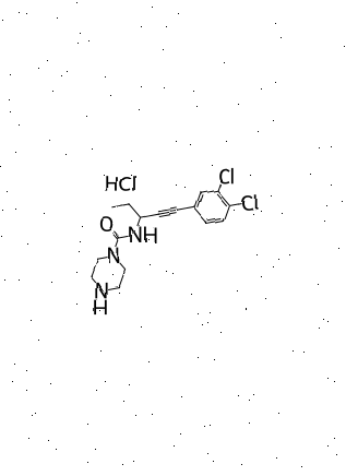 CCC(C#Cc1ccc(Cl)c(Cl)c1)NC(=O)N1CCNCC1.Cl